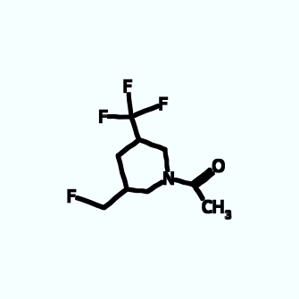 CC(=O)N1CC(CF)CC(C(F)(F)F)C1